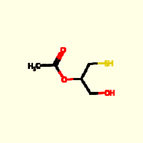 CC(=O)OC(CO)CS